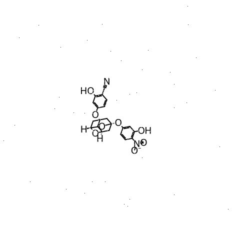 N#Cc1ccc(O[C@@]23C[C@H]4C[C@](Oc5ccc([N+](=O)[O-])c(O)c5)(C2)O[C@@H](C3)O4)cc1O